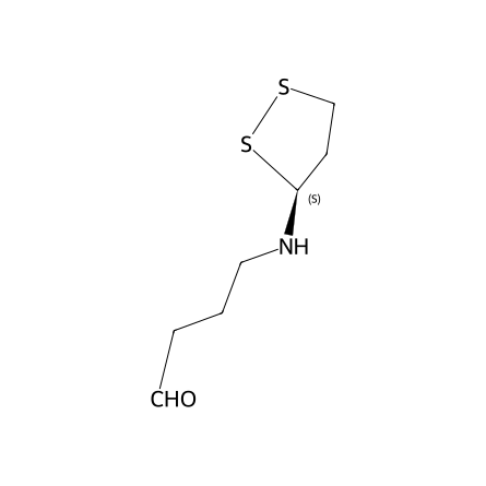 O=CCCCN[C@@H]1CCSS1